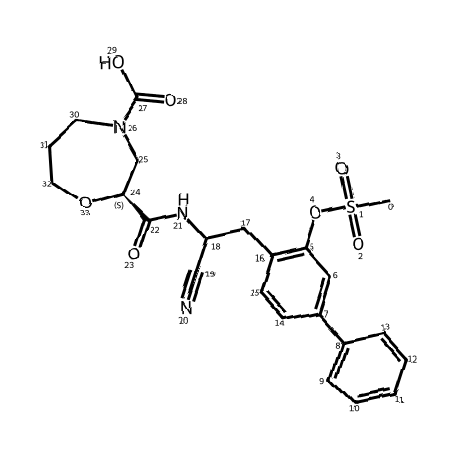 CS(=O)(=O)Oc1cc(-c2ccccc2)ccc1CC(C#N)NC(=O)[C@@H]1CN(C(=O)O)CCCO1